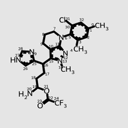 Cc1cc(C)c(N2CCCc3c2nn(C)c3C(CCC(N)OC(=O)C(F)(F)F)c2c[nH]cn2)c(Cl)c1